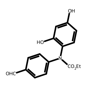 CCOC(=O)N(c1ccc(C=O)cc1)c1ccc(O)cc1O